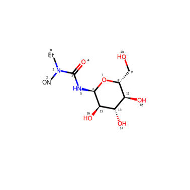 CCN(N=O)C(=O)N[C@H]1O[C@H](CO)[C@@H](O)[C@H](O)[C@H]1O